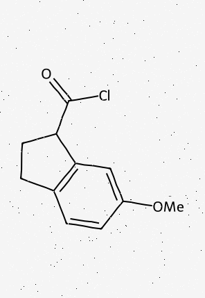 COc1ccc2c(c1)C(C(=O)Cl)CC2